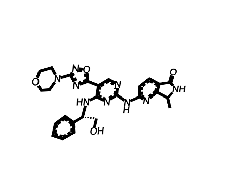 CC1NC(=O)c2ccc(Nc3ncc(-c4nc(N5CCOCC5)no4)c(N[C@H](CO)c4ccccc4)n3)nc21